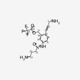 NCC#Cc1ccc(NC(=O)CCCN)cc1COC(=O)C(F)(F)F